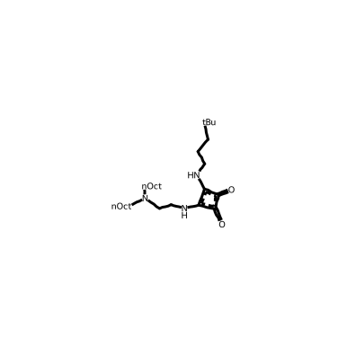 CCCCCCCCN(CCCCCCCC)CCNc1c(NCCCC(C)(C)C)c(=O)c1=O